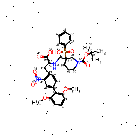 COc1cccc(OC)c1-c1ccc(C[C@H](NCC2(S(=O)(=O)c3ccccc3)CCCN(C(=O)OC(C)(C)C)C2)C(=O)O)c([N+](=O)[O-])c1